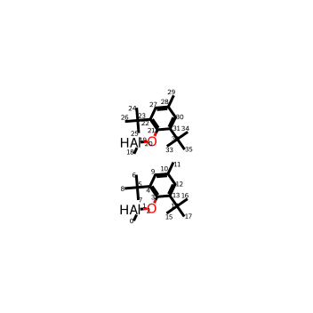 [CH3][AlH][O]c1c(C(C)(C)C)cc(C)cc1C(C)(C)C.[CH3][AlH][O]c1c(C(C)(C)C)cc(C)cc1C(C)(C)C